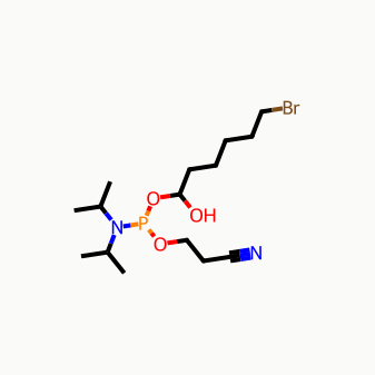 CC(C)N(C(C)C)P(OCCC#N)OC(O)CCCCCBr